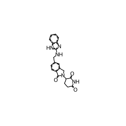 O=C1CCC(N2Cc3cc(CNc4nc5ccccc5[nH]4)ccc3C2=O)C(=O)N1